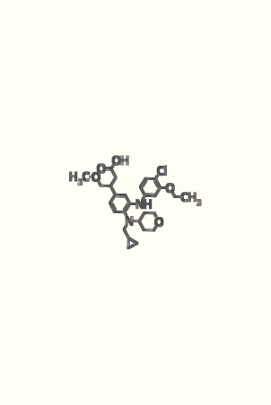 CCOc1cc(Nc2cc(C(COC)CC(=O)O)ccc2N(CC2CC2)C2CCOCC2)ccc1Cl